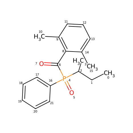 CCC(C)P(=O)(C(=O)c1c(C)cccc1C)c1ccccc1